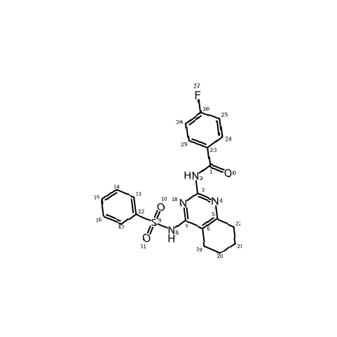 O=C(Nc1nc2c(c(NS(=O)(=O)c3ccccc3)n1)CCCC2)c1ccc(F)cc1